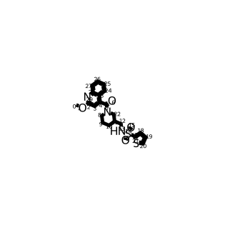 COc1cc(C(=O)N2CCCC(CNS(=O)(=O)c3cccs3)C2)c2ccccc2n1